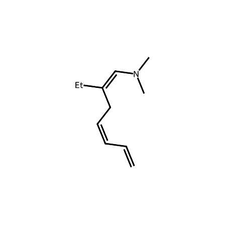 C=C/C=C\C/C(=C\N(C)C)CC